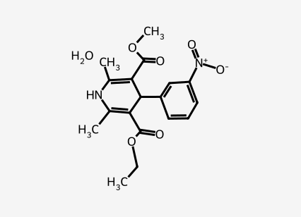 CCOC(=O)C1=C(C)NC(C)=C(C(=O)OC)C1c1cccc([N+](=O)[O-])c1.O